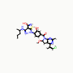 CCCC(C)NC(=N)c1c(O)nsc1Nc1ccc(C(=O)N2c3nc(C)nc(/C(C)=C\Cl)c3CC2OC)cc1O